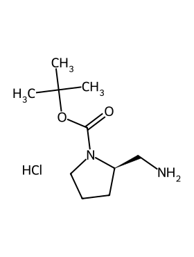 CC(C)(C)OC(=O)N1CCC[C@@H]1CN.Cl